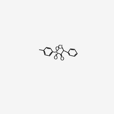 Cc1ccc(S(=O)(=O)C(=O)C(Cl)c2ccccc2)cc1